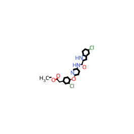 CCOC(=O)Cc1ccc(Oc2ccc(NC(=O)c3cc4cc(Cl)ccc4[nH]3)cn2)c(Cl)c1